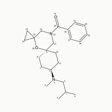 CC(C)CN(C)[C@H]1CC[C@@]2(CC1)CN(C(=O)c1ccccc1)CC1(CC1)O2